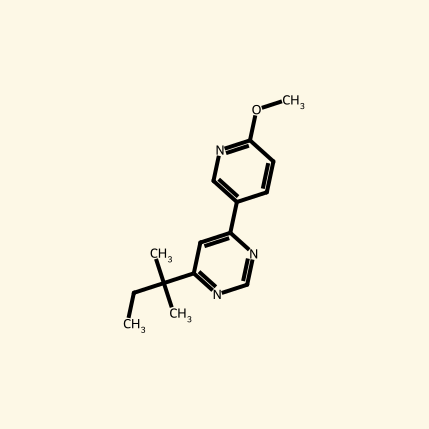 CCC(C)(C)c1cc(-c2ccc(OC)nc2)ncn1